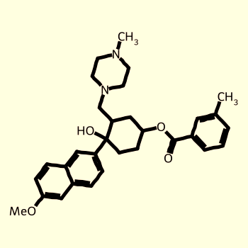 COc1ccc2cc(C3(O)CCC(OC(=O)c4cccc(C)c4)CC3CN3CCN(C)CC3)ccc2c1